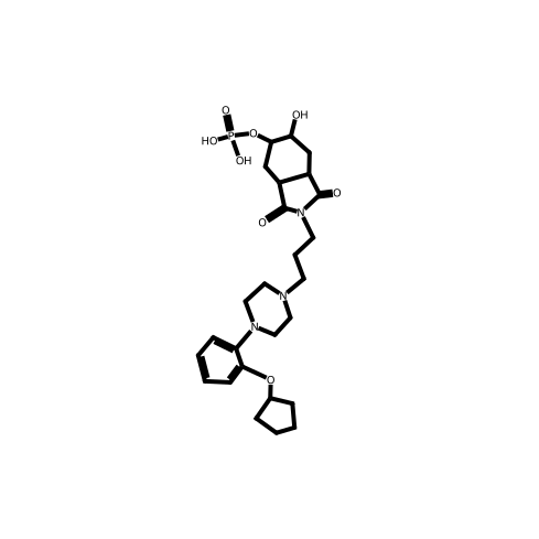 O=C1C2CC(O)C(OP(=O)(O)O)CC2C(=O)N1CCCN1CCN(c2ccccc2OC2CCCC2)CC1